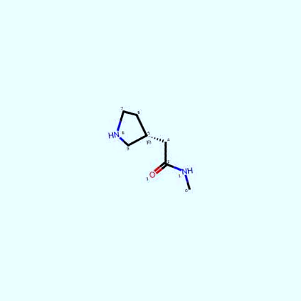 CNC(=O)C[C@H]1CCNC1